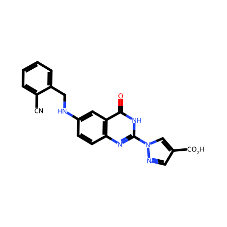 N#Cc1ccccc1CNc1ccc2nc(-n3cc(C(=O)O)cn3)[nH]c(=O)c2c1